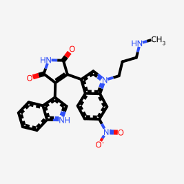 CNCCCn1cc(C2=C(c3c[nH]c4ccccc34)C(=O)NC2=O)c2ccc([N+](=O)[O-])cc21